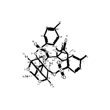 Cc1ccc(S(=O)(=O)O[C@@H]2[C@H]3O[C@H]4O[C@@H]2[C@H](OC(=O)C25CC[C@](C)(C(=O)O2)C5(C)C)[C@H](O4)[C@@H]3OS(=O)(=O)c2ccc(C)cc2)cc1